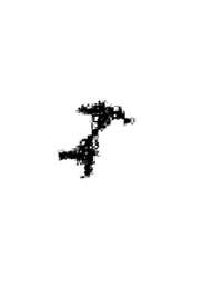 CCCCOC(C)OC(C)(OC(=O)CCCCC(=O)OC(C)(OC(C)OCCCC)OC(C)OCCCC)OC(C)OCCCC